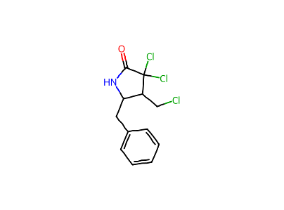 O=C1NC(Cc2ccccc2)C(CCl)C1(Cl)Cl